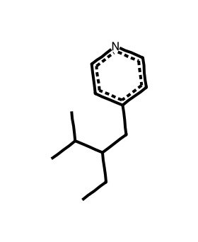 CCC(Cc1ccncc1)C(C)C